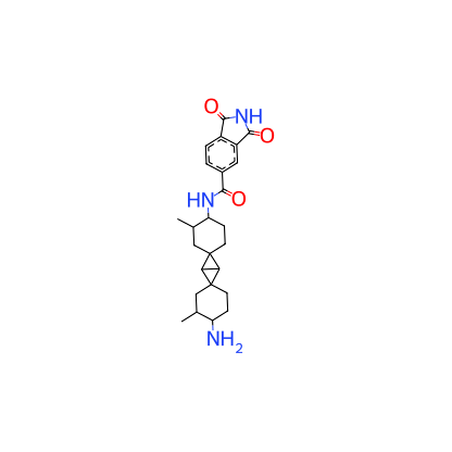 CC1CC2(CCC1N)C1C2C12CCC(NC(=O)c1ccc3c(c1)C(=O)NC3=O)C(C)C2